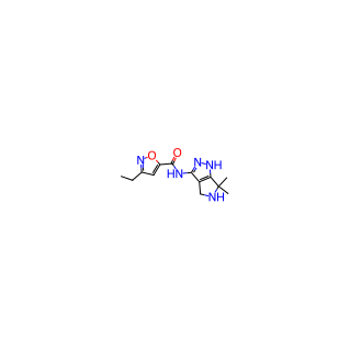 CCc1cc(C(=O)Nc2n[nH]c3c2CNC3(C)C)on1